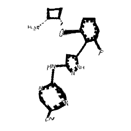 N#Cc1cnc(Nc2cc(-c3c(F)cccc3O[C@H]3CC[C@H]3N)[nH]n2)cn1